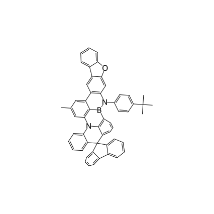 Cc1cc2c3c(c1)N1c4ccccc4C4(c5ccccc5-c5ccccc54)c4cccc(c41)B3N(c1ccc(C(C)(C)C)cc1)c1cc3oc4ccccc4c3cc1-2